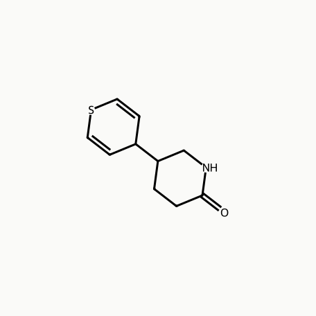 O=C1CCC(C2C=CSC=C2)CN1